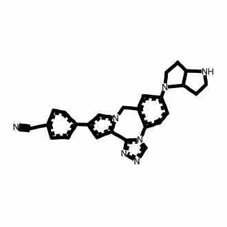 N#Cc1ccc(-c2cc3n(c2)Cc2cc(N4CCC5NCCC54)ccc2-n2cnnc2-3)cc1